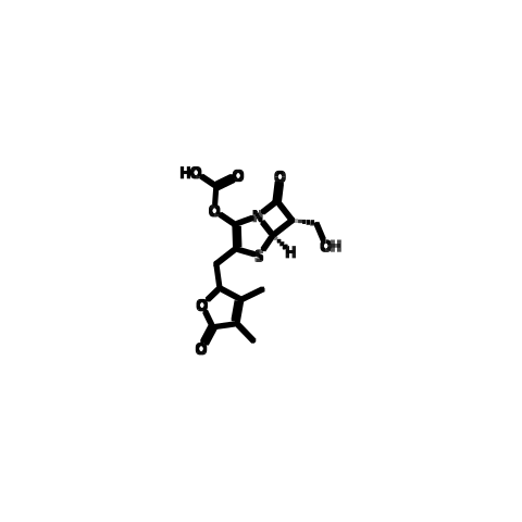 CC1=C(C)C(CC2=C(OC(=O)O)N3C(=O)[C@H](CO)[C@H]3S2)OC1=O